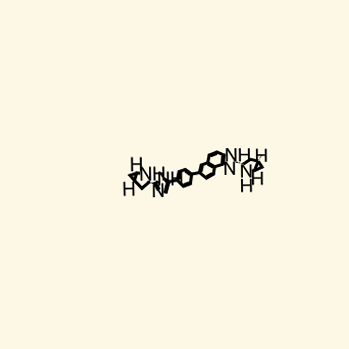 c1cc(-c2cnc([C@@H]3C[C@H]4C[C@H]4N3)[nH]2)ccc1-c1ccc2c(ccc3[nH]c([C@@H]4C[C@H]5C[C@H]5N4)nc32)c1